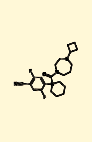 N#Cc1cc(F)c([N+]2(C(=O)N3CCCN(C4CCC4)CC3)CCCCC2)cc1F